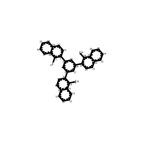 Ic1c(-c2cc(-c3ccc4ccccc4c3I)cc(-c3ccc4ccccc4c3I)c2)ccc2ccccc12